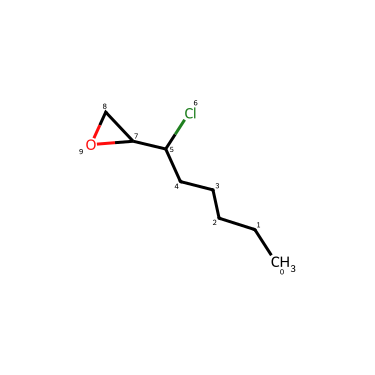 CCCCCC(Cl)C1CO1